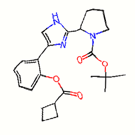 CC(C)(C)OC(=O)N1CCCC1c1nc(-c2ccccc2OC(=O)C2CCC2)c[nH]1